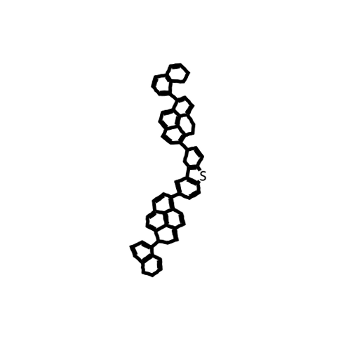 C1=Cc2c(cccc2C2CC=c3ccc4c(-c5ccc6sc7c(c6c5)CC(c5ccc6ccc8c(-c9cccc%10c9CCC=C%10)ccc9c8c6c5CC9)C=C7)ccc5ccc2c3c54)CC1